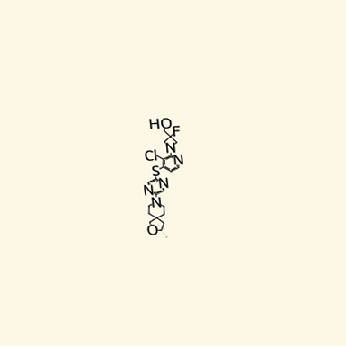 C[C@H]1CC2(CCN(c3cnc(Sc4ccnc(N5CC(F)(CO)C5)c4Cl)cn3)CC2)CO1